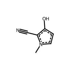 Cn1ccc(O)c1C#N